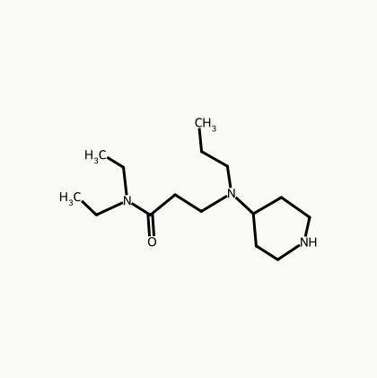 CCCN(CCC(=O)N(CC)CC)C1CCNCC1